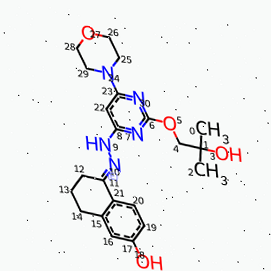 CC(C)(O)COc1nc(N/N=C2\CCCc3cc(O)ccc32)cc(N2CCOCC2)n1